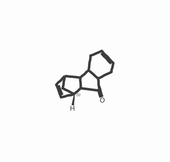 O=C1C2CC=CCC2C2C3C=C[C@H](C3)C12